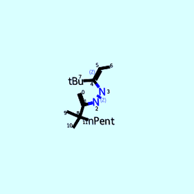 C=C(/N=N\C(=C/C)C(C)(C)C)C(C)(C)CCCCC